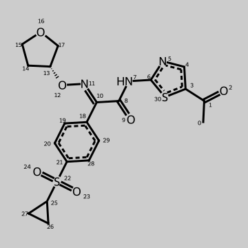 CC(=O)c1cnc(NC(=O)/C(=N/O[C@@H]2CCOC2)c2ccc(S(=O)(=O)C3CC3)cc2)s1